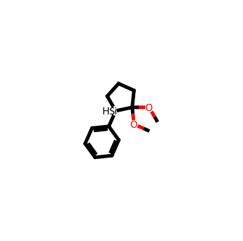 COC1(OC)CCC[SiH]1c1ccccc1